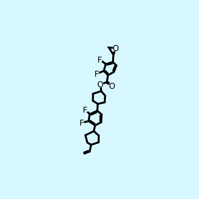 C=CC1CCC(c2ccc(C3CCC(OC(=O)c4ccc(C5CO5)c(F)c4F)CC3)c(F)c2F)CC1